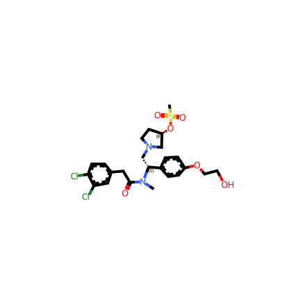 CN(C(=O)Cc1ccc(Cl)c(Cl)c1)[C@H](CN1CC[C@@H](OS(C)(=O)=O)C1)c1ccc(OCCO)cc1